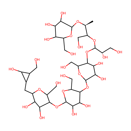 C[C@H](OC1OC(CO)C(O)C(O)C1O)C(CO)OC(OC1C(CO)OC(OC2C(CO)OC(OC3C(CO)OC(CC4C(O)C4CO)C(O)C3O)C(O)C2O)C(O)C1O)[C@@H](O)CO